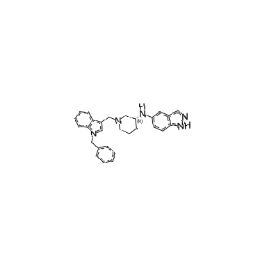 c1ccc(Cn2cc(CN3CCC[C@@H](Nc4ccc5[nH]ncc5c4)C3)c3ccccc32)cc1